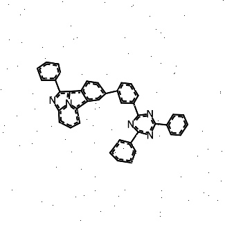 c1ccc(-c2nc(-c3ccccc3)nc(-c3cccc(-c4ccc5c(c4)c4cccc6nc(-c7ccccc7)c5n64)c3)n2)cc1